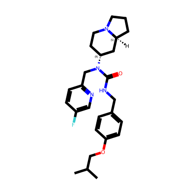 CC(C)COc1ccc(CNC(=O)N(Cc2ccc(F)cn2)[C@@H]2CCN3CCC[C@H]3C2)cc1